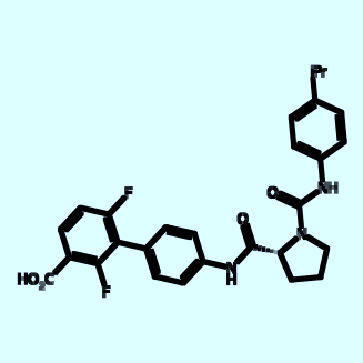 CC(C)c1ccc(NC(=O)N2CCC[C@@H]2C(=O)Nc2ccc(-c3c(F)ccc(C(=O)O)c3F)cc2)cc1